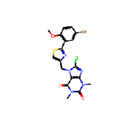 COc1ccc(Br)cc1-c1nc(Cn2c(Cl)nc3c2c(=O)n(C)c(=O)n3C)cs1